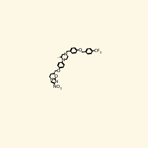 C[C@@H]1CN(Cc2ccc(OCc3ccc(C(F)(F)F)cc3)cc2)CCN1c1ccc(OC[C@@H]2CCn3cc([N+](=O)[O-])nc3O2)cc1